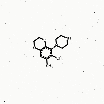 Cc1cc2c(c(N3CCNCC3)c1C)OCCO2